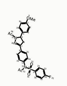 COc1ccc(C2CC(c3ccc(N(C(C)=O)S(=O)(=O)c4ccc(F)cc4)cc3)=NN2C(C)=O)cc1